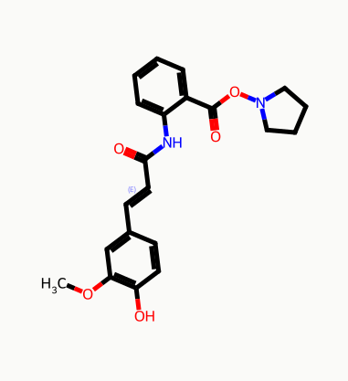 COc1cc(/C=C/C(=O)Nc2ccccc2C(=O)ON2CCCC2)ccc1O